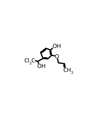 C=CCOc1cc(C(O)C(Cl)(Cl)Cl)ccc1O